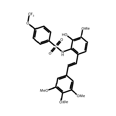 COc1ccc(C=Cc2cc(OC)c(OC)c(OC)c2)c(NS(=O)(=O)c2ccc(OC(F)(F)F)cc2)c1O